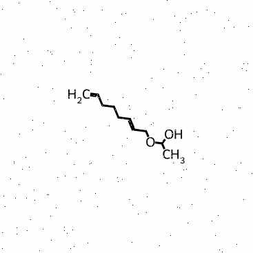 C=CCCCC=CCOC(C)O